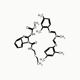 CCCCNC(=O)n1c(NC(=O)OC)nc2ccccc21.Cc1ccc(/N=C/N(C)/C=N/c2ccc(C)cc2C)c(C)c1